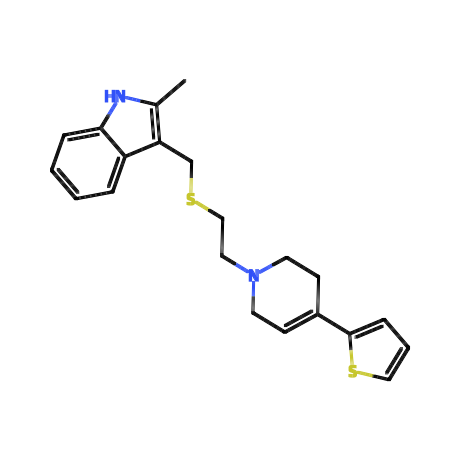 Cc1[nH]c2ccccc2c1CSCCN1CC=C(c2cccs2)CC1